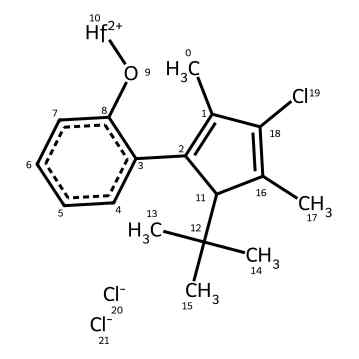 CC1=C(c2ccccc2[O][Hf+2])C(C(C)(C)C)C(C)=C1Cl.[Cl-].[Cl-]